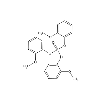 COc1ccccc1OP(=O)(Oc1ccccc1OC)Oc1ccccc1OC